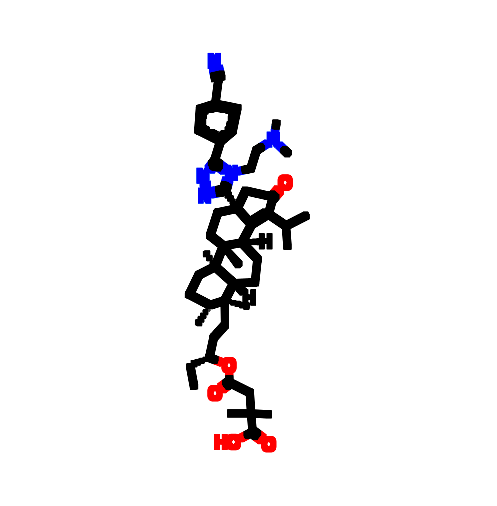 CC[C@H](CC[C@@]1(C)[C@H](C)CC[C@]2(C)[C@@H]1CC[C@@H]1C3=C(C(C)C)C(=O)C[C@]3(c3nnc(-c4ccc(C#N)cc4)n3CCN(C)C)CC[C@]12C)OC(=O)CC(C)(C)C(=O)O